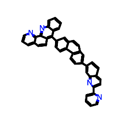 c1ccc(-c2ccc3ccc(-c4ccc5c(ccc6cc(-c7c8ccccc8nc8c7ccc7cccnc78)ccc65)c4)cc3n2)nc1